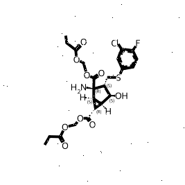 CCC(=O)OCOC(=O)[C@H]1[C@@H]2[C@H](O)[C@@H](CSc3ccc(F)c(Cl)c3)[C@@](N)(C(=O)OCOC(=O)CC)[C@H]12